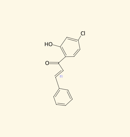 O=C(/C=C/c1ccccc1)c1ccc(Cl)cc1O